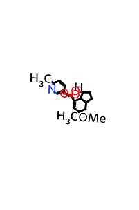 CO[C@]1(C)C=C2C(=O)O[C@@H]3CCC(C1)[C@]23OCc1ccc(C)nc1